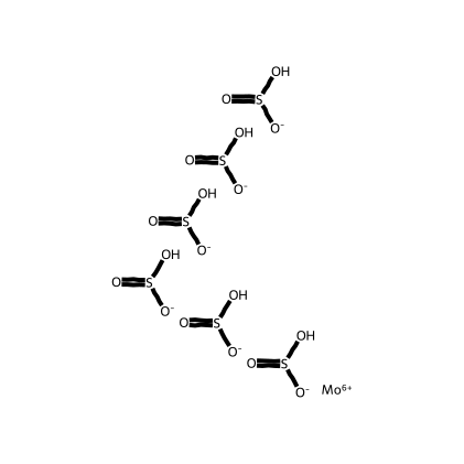 O=S([O-])O.O=S([O-])O.O=S([O-])O.O=S([O-])O.O=S([O-])O.O=S([O-])O.[Mo+6]